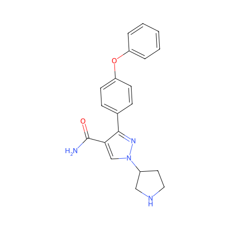 NC(=O)c1cn(C2CCNC2)nc1-c1ccc(Oc2ccccc2)cc1